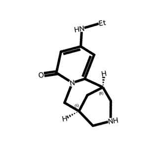 CCNc1cc2n(c(=O)c1)C[C@@H]1CNC[C@H]2C1